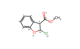 COC(=O)C1c2ccccc2OC1Cl